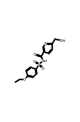 CCOc1ccc(S(=O)(=O)NC(=O)c2ccc(CO)nc2)cc1